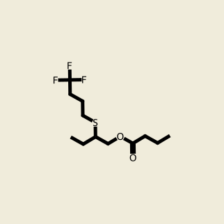 CCCC(=O)OCC(CC)SCCCC(F)(F)F